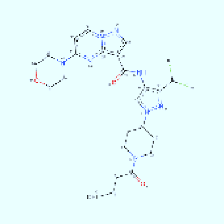 O=CCCC(=O)N1CCC(n2cc(NC(=O)c3cnn4ccc(N5CCOCC5)nc34)c(C(F)F)n2)CC1